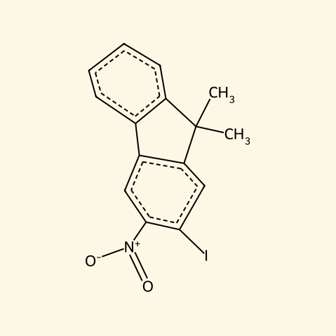 CC1(C)c2ccccc2-c2cc([N+](=O)[O-])c(I)cc21